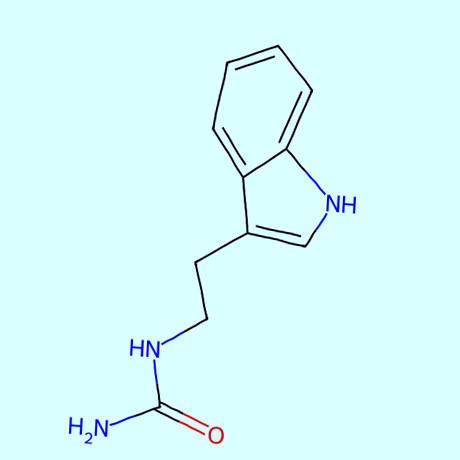 NC(=O)NCCc1c[nH]c2ccccc12